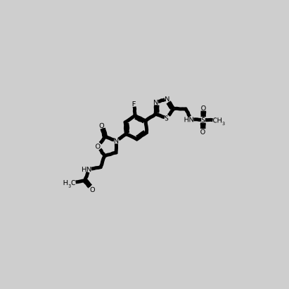 CC(=O)NCC1CN(c2ccc(-c3nnc(CNS(C)(=O)=O)s3)c(F)c2)C(=O)O1